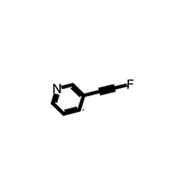 FC#Cc1[c]ccnc1